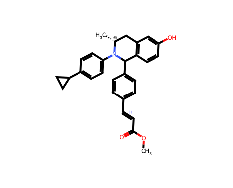 COC(=O)/C=C/c1ccc(C2c3ccc(O)cc3C[C@@H](C)N2c2ccc(C3CC3)cc2)cc1